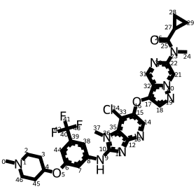 CN1CCC(Oc2cc(Nc3nc4ncc(Oc5cnn6cc(N(C)C(=O)C7CC7)ncc56)c(Cl)c4n3C)cc(C(F)(F)F)c2)CC1